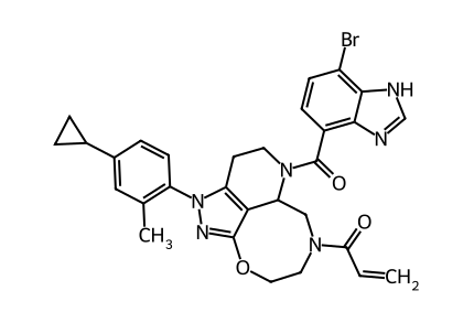 C=CC(=O)N1CCOc2nn(-c3ccc(C4CC4)cc3C)c3c2C(C1)N(C(=O)c1ccc(Br)c2[nH]cnc12)CC3